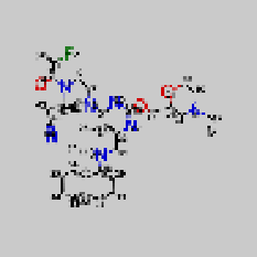 C=C(F)C(=O)N1CCN(c2nc(OCC3CN(CC)CCO3)nc3c2CCN(c2cccc4cccc(C)c24)C3)C[C@@H]1CC#N